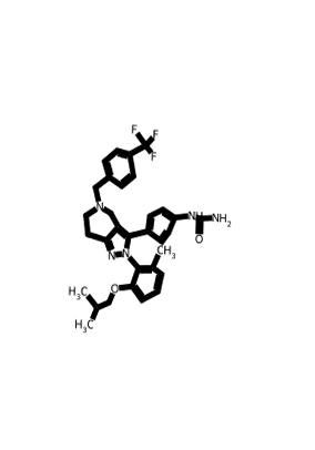 Cc1cccc(OCC(C)C)c1-n1nc2c(c1-c1ccc(NC(N)=O)cc1)CN(Cc1ccc(C(F)(F)F)cc1)CC2